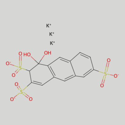 O=S(=O)([O-])C1=Cc2cc3cc(S(=O)(=O)[O-])ccc3cc2C(O)(O)C1S(=O)(=O)[O-].[K+].[K+].[K+]